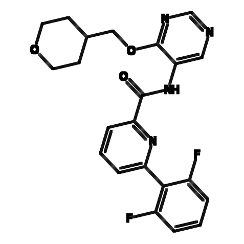 O=C(Nc1cncnc1OCC1CCOCC1)c1cccc(-c2c(F)cccc2F)n1